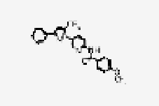 O=C(Nc1ccc(-n2nc(-c3cccnc3)cc2C(F)(F)F)cn1)c1ccc(OC(F)(F)F)cc1